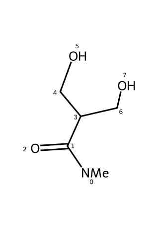 CNC(=O)C(CO)CO